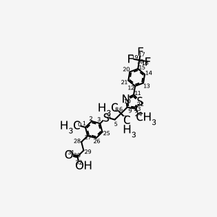 Cc1cc(SCC(C)(C)c2nc(-c3ccc(C(F)(F)F)cc3)sc2C)ccc1CCC(=O)O